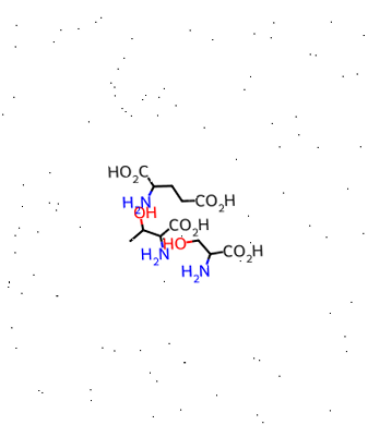 CC(O)C(N)C(=O)O.NC(CCC(=O)O)C(=O)O.NC(CO)C(=O)O